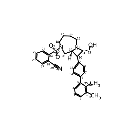 Cc1cccc(-c2ccc(C3[C@@H](CO)N4CCCCN(S(=O)(=O)c5ccccc5C#N)C[C@@H]34)cc2)c1C